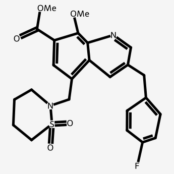 COC(=O)c1cc(CN2CCCCS2(=O)=O)c2cc(Cc3ccc(F)cc3)cnc2c1OC